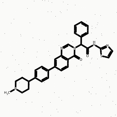 CN1CCC(c2ccc(-c3ccc4c(=O)n(C(C(=O)Nc5nccs5)c5ccccc5)cnc4c3)cc2)CC1